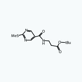 CSc1ncc(C(=O)NCCC(=O)OC(C)(C)C)cn1